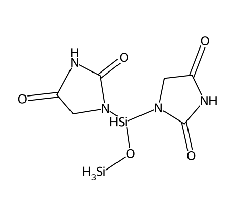 O=C1CN([SiH](O[SiH3])N2CC(=O)NC2=O)C(=O)N1